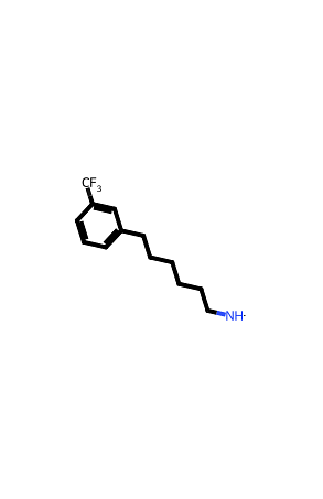 [NH]CCCCCCc1cccc(C(F)(F)F)c1